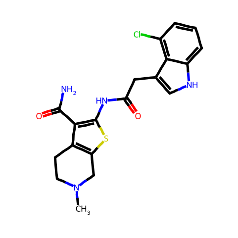 CN1CCc2c(sc(NC(=O)Cc3c[nH]c4cccc(Cl)c34)c2C(N)=O)C1